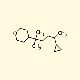 CC(CCC(C)(C)C1CCOCC1)C1CC1